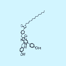 CCCCCCCCCCCCCC1C=C(c2ccc(Cc3nc4c(Cc5ccc(O)cc5)[nH]c(-c5ccc(O)cc5)cn-4c3=O)cc2)C1=O